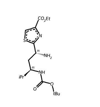 CCOC(=O)c1csc([C@H](N)C[C@@H](NC(=O)OC(C)(C)C)C(C)C)n1